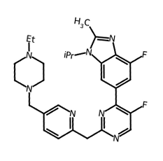 CCN1CCN(Cc2ccc(Cc3ncc(F)c(-c4cc(F)c5nc(C)n(C(C)C)c5c4)n3)nc2)CC1